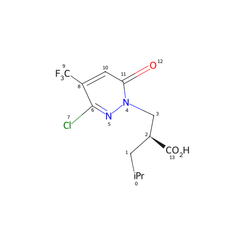 CC(C)C[C@@H](Cn1nc(Cl)c(C(F)(F)F)cc1=O)C(=O)O